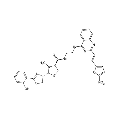 CN1C([C@@H]2CSC(c3ccccc3O)=N2)SC[C@@H]1C(=O)NCCNc1nc(/C=C/c2ccc([N+](=O)[O-])o2)nc2ccccc12